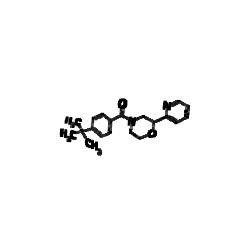 CC(C)(C)c1ccc(C(=O)N2CCOC(c3ccccn3)C2)cc1